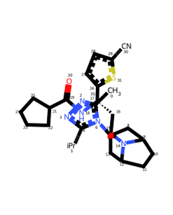 Cc1nnc(C(C)C)n1C1CC2CCC(C1)N2CC[C@H](NC(=O)C1CCCC1)c1ccc(C#N)s1